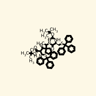 CC(NC(=O)[C@H](CSC(c1ccccc1)(c1ccccc1)c1ccccc1)NC(=O)OC(C)(C)C)C1(C(=O)C(C(=O)OC(C)(C)C)C(N)SC(c2ccccc2)(c2ccccc2)c2ccccc2)CCCC1